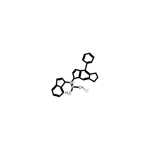 C[Si](C)=[Zr+]([CH]1C=Cc2ccccc21)[CH]1C=Cc2c1cc1c(c2-c2ccccc2)CCC1.[Cl-]